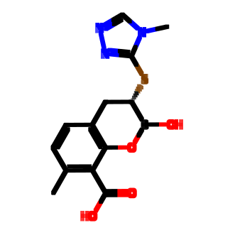 Cc1ccc2c(c1C(=O)O)OB(O)[C@@H](Sc1nncn1C)C2